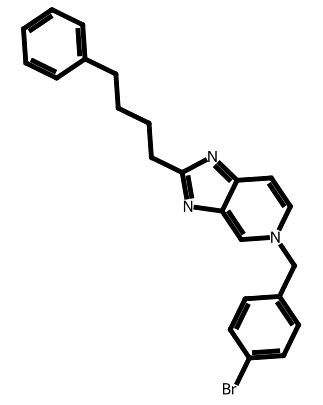 Brc1ccc(Cn2ccc3nc(CCCCc4ccccc4)nc-3c2)cc1